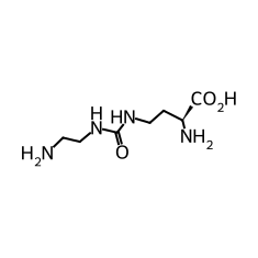 NCCNC(=O)NCC[C@H](N)C(=O)O